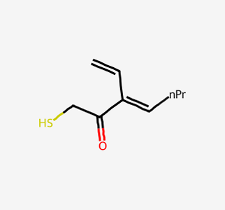 C=C/C(=C\CCC)C(=O)CS